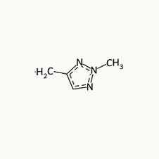 [CH2]c1cnn(C)n1